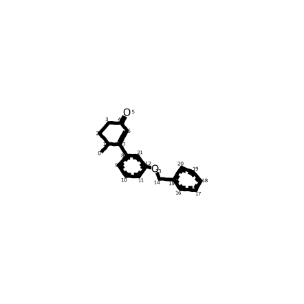 CC1CCC(=O)C=C1c1cccc(OCc2ccccc2)c1